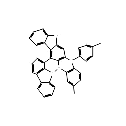 Cc1ccc(N2c3ccc(C)cc3B3c4c2cc2oc5ccccc5c2c4-c2cccc4c5ccccc5n3c24)cc1